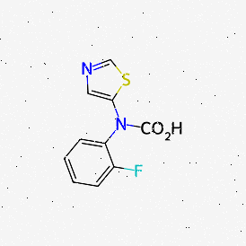 O=C(O)N(c1cncs1)c1ccccc1F